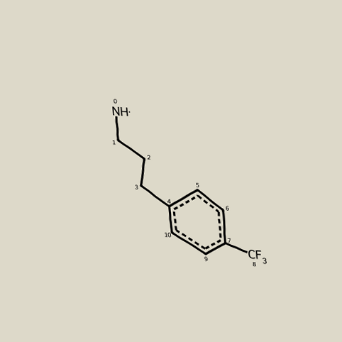 [NH]CCCc1ccc(C(F)(F)F)cc1